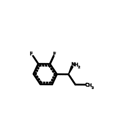 CC[C@H](N)c1cccc(F)c1F